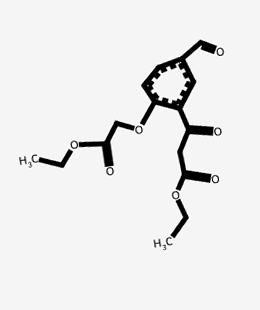 CCOC(=O)COc1ccc(C=O)cc1C(=O)CC(=O)OCC